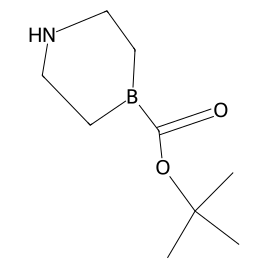 CC(C)(C)OC(=O)B1CCNCC1